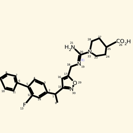 CC(c1ccc(-c2ccccc2)c(F)c1)c1cc(C/N=C(\N)N2CCC(C(=O)O)CC2)on1